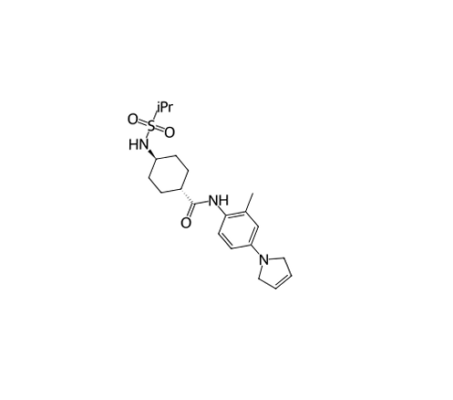 Cc1cc(N2CC=CC2)ccc1NC(=O)[C@H]1CC[C@H](NS(=O)(=O)C(C)C)CC1